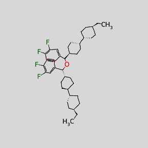 CC[C@H]1CC[C@H]([C@H]2CC[C@H](C(OC(c3ccc(F)c(F)c3)[C@H]3CC[C@H]([C@H]4CC[C@H](CC)CC4)CC3)c3ccc(F)c(F)c3)CC2)CC1